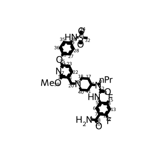 CCCN(C(=O)Nc1cc(C(N)=O)c(F)cc1F)C1CCN(Cc2ccc(Oc3ccc(NS(C)(=O)=O)cc3)nc2OC)CC1